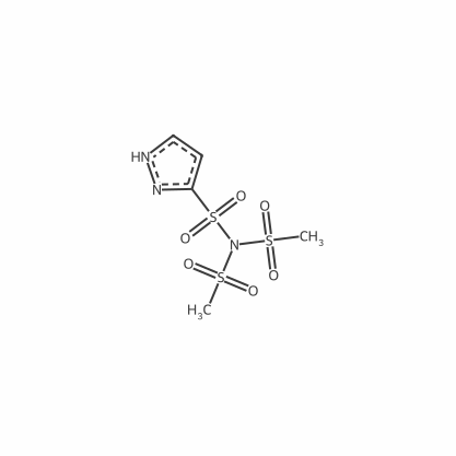 CS(=O)(=O)N(S(C)(=O)=O)S(=O)(=O)c1cc[nH]n1